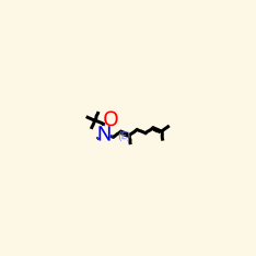 CC(C)=CCC/C(C)=C/CN(C)C(=O)C(C)(C)C